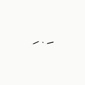 NBNS